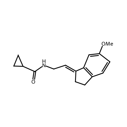 COc1ccc2c(c1)C(=CCNC(=O)C1CC1)CC2